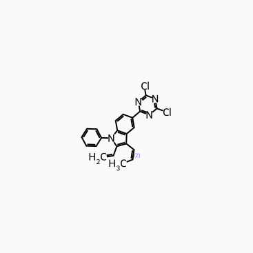 C=Cc1c(/C=C\C)c2cc(-c3nc(Cl)nc(Cl)n3)ccc2n1-c1ccccc1